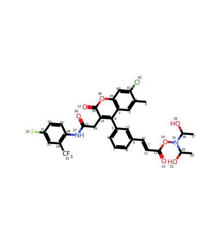 Cc1cc2c(-c3cccc(/C=C/C(=O)ON(C(C)O)C(C)O)c3)c(CC(=O)Nc3ccc(F)cc3C(F)(F)F)c(=O)oc2cc1Cl